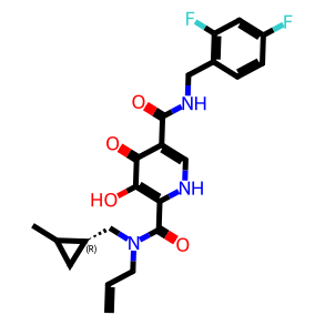 C=CCN(C[C@@H]1CC1C)C(=O)c1[nH]cc(C(=O)NCc2ccc(F)cc2F)c(=O)c1O